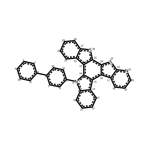 c1ccc(-c2ccc(-n3c4ccccc4c4c5c6cccnc6sc5c5sc6ccccc6c5c43)cc2)cc1